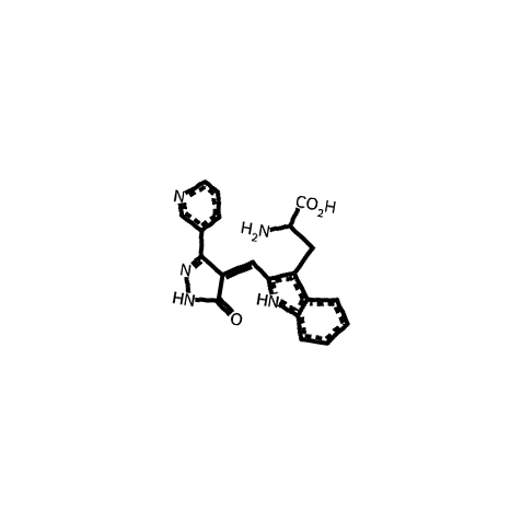 NC(Cc1c(C=C2C(=O)NN=C2c2cccnc2)[nH]c2ccccc12)C(=O)O